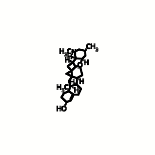 C[C@H]1C[C@H]2O[C@@]34CC[C@H]5[C@@H]6CCC7=C[C@@H](O)CC[C@]7(C)[C@H]6CC56CC63C[C@@H]4[C@@H]2N(C)C1